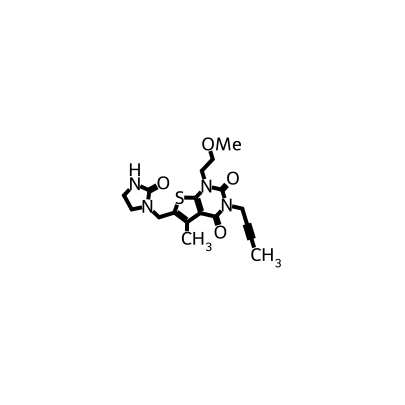 CC#CCn1c(=O)c2c(C)c(CN3CCNC3=O)sc2n(CCOC)c1=O